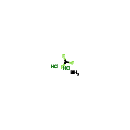 Cl.Cl.FC(F)F.[BiH3]